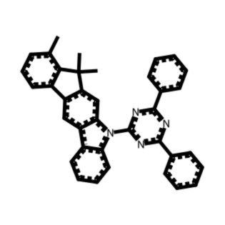 Cc1cccc2c1C(C)(C)c1cc3c(cc1-2)c1ccccc1n3-c1nc(-c2ccccc2)nc(-c2ccccc2)n1